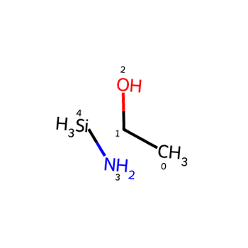 CCO.N[SiH3]